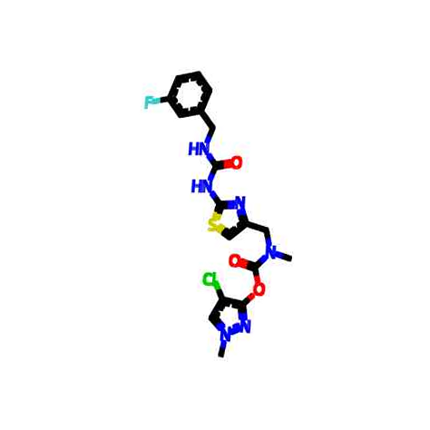 CN(Cc1csc(NC(=O)NCc2cccc(F)c2)n1)C(=O)Oc1nn(C)cc1Cl